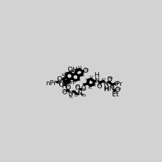 CCCC1O[C@@H]2CC3[C@@H]4CCC5=CC(=O)C=C[C@]5(C)C4[C@@H](O)C[C@]3(C)[C@]2(C(=O)COC(=O)N(C)CCN(C)C(=O)OCc2ccc(NC(=O)CNC(=O)C(NC(=O)CC)C(C)C)cc2)O1